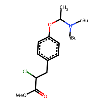 CCCCN(CCCC)C(C)Oc1ccc(CC(Cl)C(=O)OC)cc1